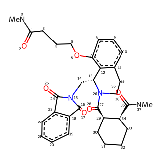 CNC(=O)CCCOc1cccc2c1[C@@H](CN1C(=O)c3ccccc3C1=O)N(C(=O)[C@@H]1CCCC[C@@H]1C(=O)NC)CC2